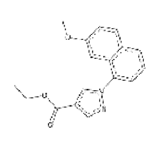 CCOC(=O)c1cnn(-c2cccc3ccc(OC)cc23)c1